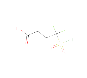 O=C(O)CCC(F)(F)S(=O)(=O)Cl